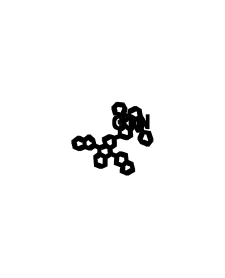 O=P1(c2ccccc2)c2cc(-c3ccc4c(-c5ccc6ccccc6c5)c5ccccc5c(-c5ccc6ccccc6c5)c4c3)ccc2-n2c(-c3ccccc3)nc3cccc1c32